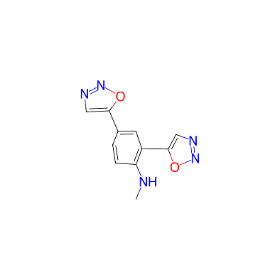 CNc1ccc(-c2cnno2)cc1-c1cnno1